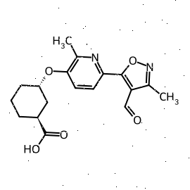 Cc1nc(-c2onc(C)c2C=O)ccc1O[C@H]1CCC[C@H](C(=O)O)C1